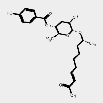 C[C@H](CCCC/C=C/C(=O)O)O[C@@H]1O[C@@H](C)[C@H](OC(=O)c2ccc(O)cc2)C[C@H]1O